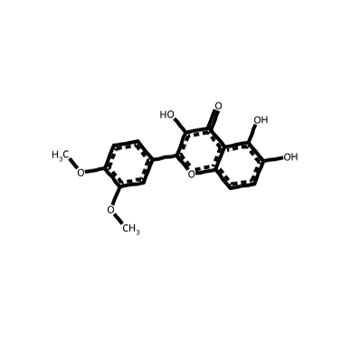 COc1ccc(-c2oc3ccc(O)c(O)c3c(=O)c2O)cc1OC